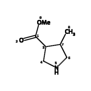 COC(=O)C1CNCC1C